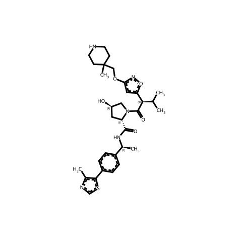 Cc1ncsc1-c1ccc([C@H](C)NC(=O)[C@@H]2C[C@@H](O)CN2C(=O)[C@@H](c2cc(OCC3(C)CCNCC3)no2)C(C)C)cc1